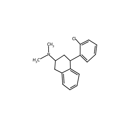 CN(C)C1Cc2ccccc2C(c2ccccc2Cl)C1